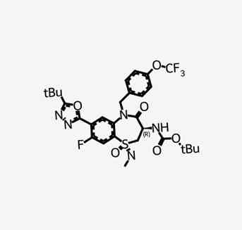 CN=S1(=O)C[C@H](NC(=O)OC(C)(C)C)C(=O)N(Cc2ccc(OC(F)(F)F)cc2)c2cc(-c3nnc(C(C)(C)C)o3)c(F)cc21